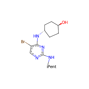 CCCC(C)Nc1ncc(Br)c(N[C@H]2CC[C@H](O)CC2)n1